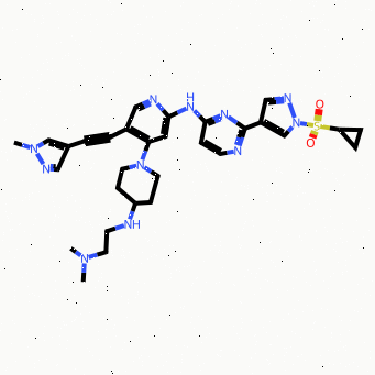 CN(C)CCNC1CCN(c2cc(Nc3ccnc(-c4cnn(S(=O)(=O)C5CC5)c4)n3)ncc2C#Cc2cnn(C)c2)CC1